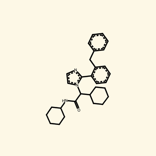 O=C(NC1CCCCC1)C(C1CCCCC1)n1ccnc1-c1ccccc1Cc1ccccc1